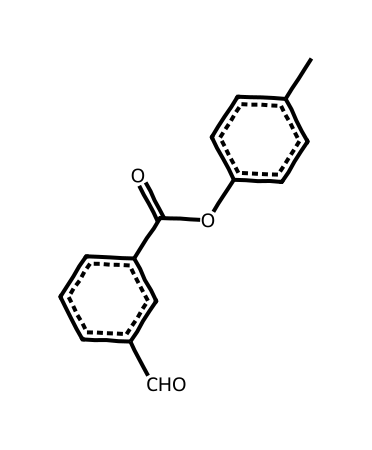 Cc1ccc(OC(=O)c2cccc(C=O)c2)cc1